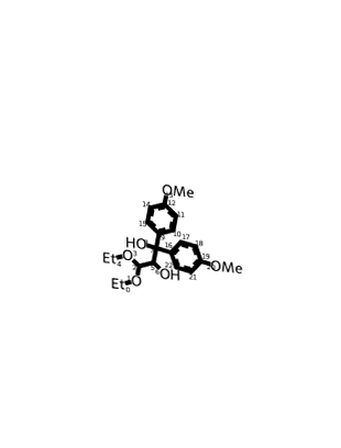 CCOC(OCC)C(O)C(O)(c1ccc(OC)cc1)c1ccc(OC)cc1